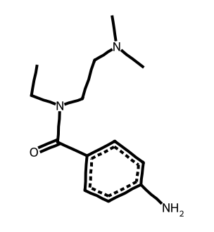 CCN(CCN(C)C)C(=O)c1ccc(N)cc1